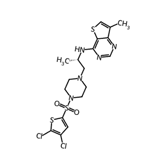 Cc1csc2c(N[C@@H](C)CN3CCN(S(=O)(=O)c4cc(Cl)c(Cl)s4)CC3)ncnc12